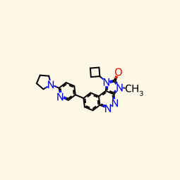 Cn1c(=O)n(C2CCC2)c2c3cc(-c4ccc(N5CCCC5)nc4)ccc3nnc21